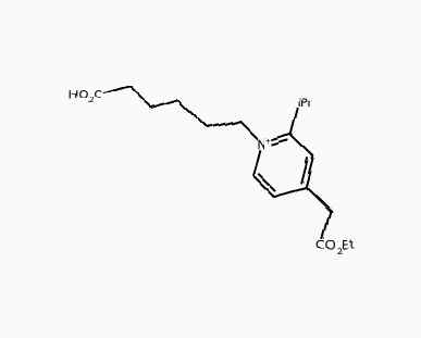 CCOC(=O)Cc1cc[n+](CCCCCC(=O)O)c(C(C)C)c1